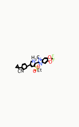 CCS(=O)(=O)c1cc(-c2ccc(C3(C#N)CC3)cc2)cnc1-c1nc2cc3c(cc2n1C)OC(F)(F)O3